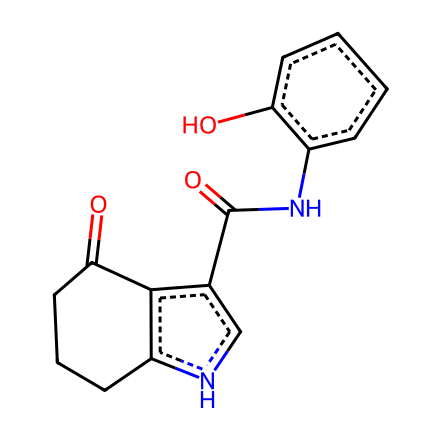 O=C(Nc1ccccc1O)c1c[nH]c2c1C(=O)CCC2